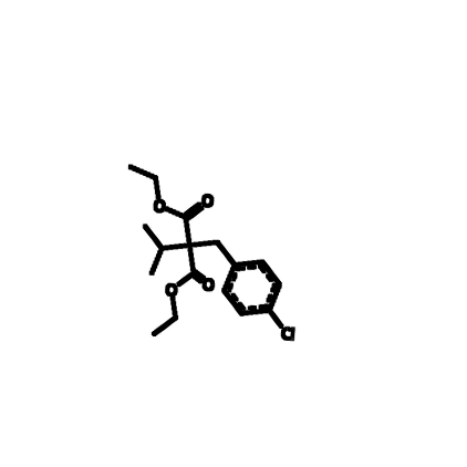 CCOC(=O)C(Cc1ccc(Cl)cc1)(C(=O)OCC)C(C)C